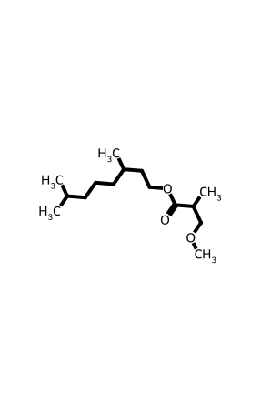 COCC(C)C(=O)OCCC(C)CCCC(C)C